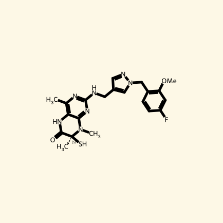 COc1cc(F)ccc1Cn1cc(CNc2nc(C)c3c(n2)N(C)[C@@](C)(S)C(=O)N3)cn1